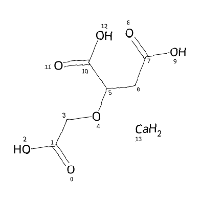 O=C(O)COC(CC(=O)O)C(=O)O.[CaH2]